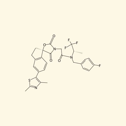 Cc1nc(C)c(-c2ccc3c(c2)CC[C@@]32OC(=O)N(CC(=O)N(Cc3ccc(F)cc3)[C@@H](C)C(F)(F)F)C2=O)s1